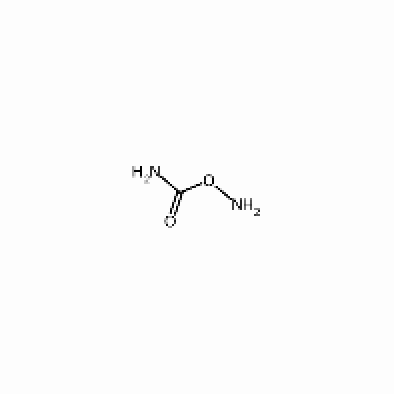 NOC(N)=O